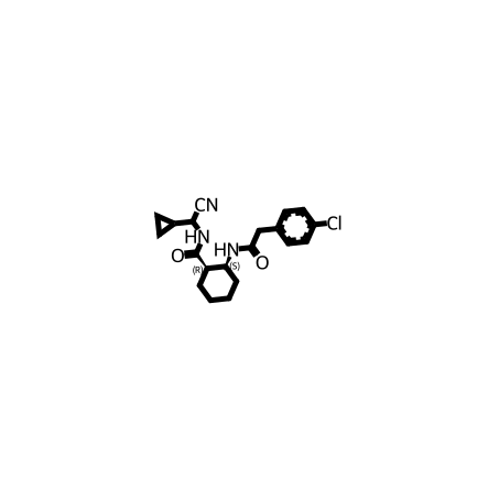 N#CC(NC(=O)[C@@H]1CCCC[C@@H]1NC(=O)Cc1ccc(Cl)cc1)C1CC1